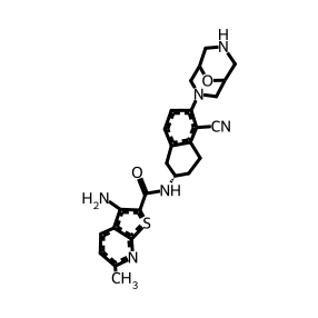 Cc1ccc2c(N)c(C(=O)N[C@H]3CCc4c(ccc(N5CC6CNCC(C5)O6)c4C#N)C3)sc2n1